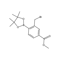 COC(=O)c1ccc(B2OC(C)(C)C(C)(C)O2)c(CBr)c1